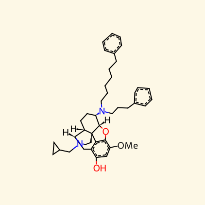 COc1cc(O)c2c3c1O[C@H]1[C@H](N(CCCCCCc4ccccc4)CCCc4ccccc4)CC[C@H]4[C@@H](C2)N(CC2CC2)CC[C@@]341